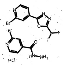 Cl.FC(F)c1nnc(-c2ccnc(Br)c2)o1.NNC(=O)c1ccnc(Br)c1